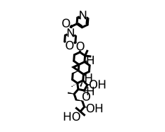 C[C@@H]1C[C@H]([C@H](O)C(C)(C)O)O[C@H]2C1[C@@]1(C)CC[C@@]34CC35CCC(OC3CN(C(=O)c6cccnc6)CCO3)C(C)(C)[C@@H]5CC[C@H]4[C@]1(C)[C@H]2O